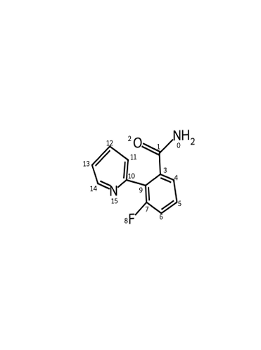 NC(=O)c1cccc(F)c1-c1ccccn1